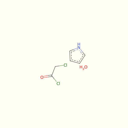 O.O=C(Cl)CCl.c1cc[nH]c1